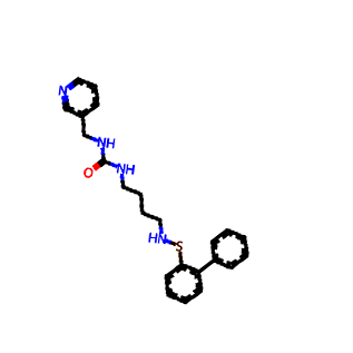 O=C(NCCCCNSc1ccccc1-c1ccccc1)NCc1cccnc1